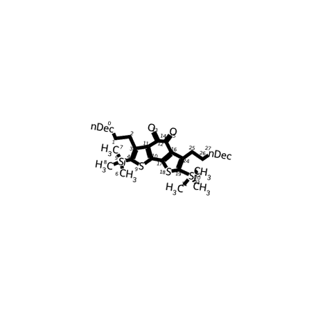 CCCCCCCCCCCCc1c([Si](C)(C)C)sc2c1C(=O)C(=O)c1c-2sc([Si](C)(C)C)c1CCCCCCCCCCCC